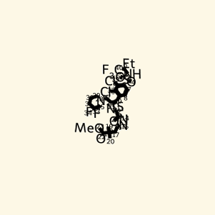 CCC(NS(=O)(=O)c1ccc(-c2sc(-c3nnc(CC(C)(C)C(=O)OC)o3)nc2CN2CCCC(F)(F)C2)c(Cl)c1Cl)C(F)(F)F